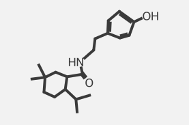 CC(C)C1CCC(C)(C)CC1C(=O)NCCc1ccc(O)cc1